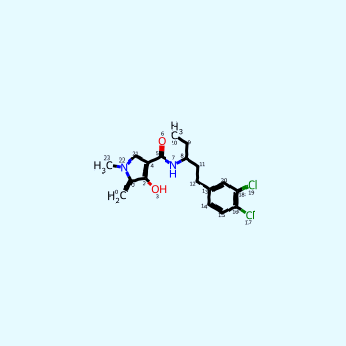 C=C1C(O)=C(C(=O)NC(CC)CCc2ccc(Cl)c(Cl)c2)CN1C